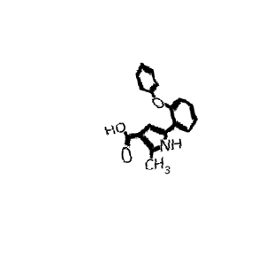 Cc1[nH]c(-c2ccccc2Oc2ccccc2)cc1C(=O)O